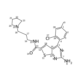 Cc1ccc(-c2nc(N)nc3sc(C(=O)NCCCN4CCCC4)cc23)c(Cl)c1